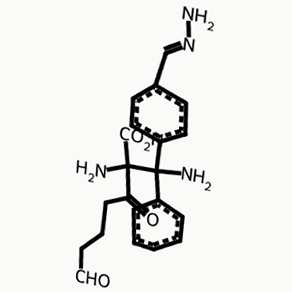 NN=Cc1ccc(C(N)(c2ccccc2)C(N)(C(=O)O)C(=O)CCCC=O)cc1